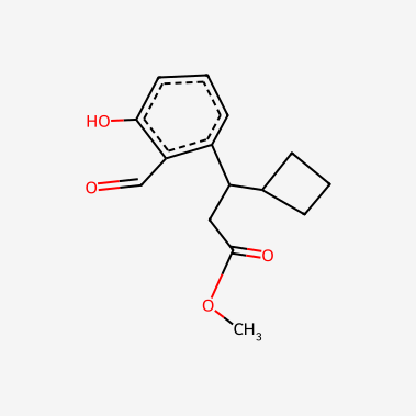 COC(=O)CC(c1cccc(O)c1C=O)C1CCC1